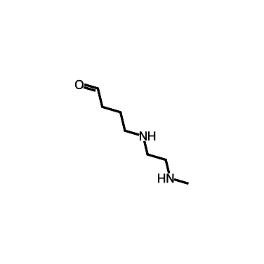 CNCCNCCCC=O